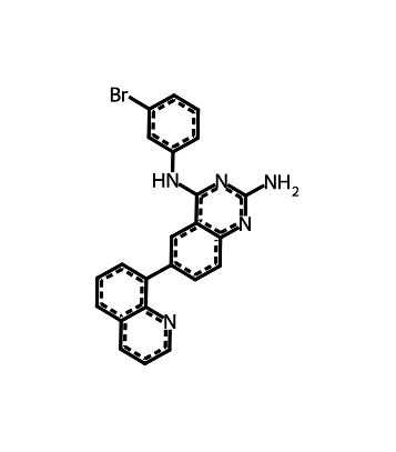 Nc1nc(Nc2cccc(Br)c2)c2cc(-c3cccc4cccnc34)ccc2n1